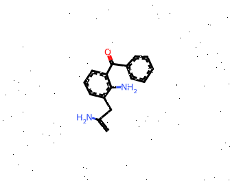 C=C(N)Cc1cccc(C(=O)c2ccccc2)c1N